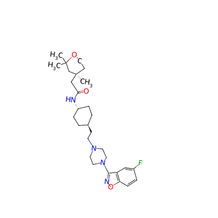 CC1(C)C[C@](C)(CC(=O)N[C@H]2CC[C@H](CCN3CCN(c4noc5ccc(F)cc45)CC3)CC2)CCO1